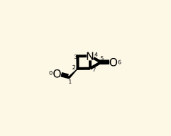 O=C[C@H]1CN2C(=O)C12